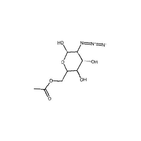 CC(=O)OCC1OC(O)C(N=[N+]=[N-])[C@H](O)C1O